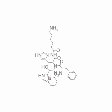 NCCCCCC(=O)NC(=O)[C@H](Cc1c[nH]cn1)N(C(=O)[C@@H](N)Cc1ccccc1)[C@@H](CC1CCCCC1)[C@@H](O)c1ncc[nH]1